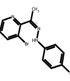 C/C(=N/Nc1ccc(F)cc1)c1ncccc1Br